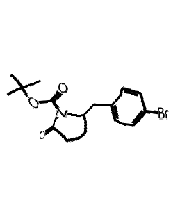 CC(C)(C)OC(=O)N1C(=O)CCC1Cc1ccc(Br)cc1